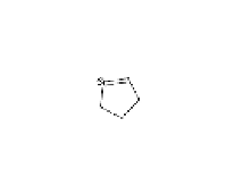 C1=[Si]CCC1